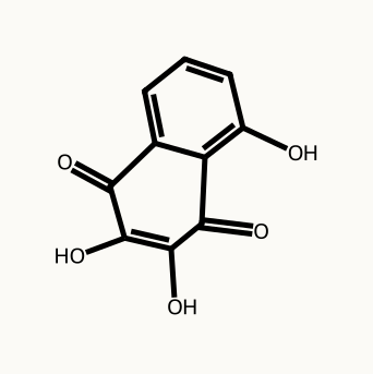 O=C1C(O)=C(O)C(=O)c2c(O)cccc21